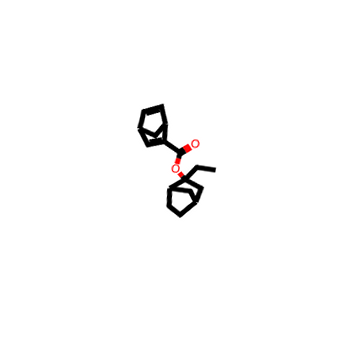 CCC1(OC(=O)C2=CC3C=CC2C3)CC2CCC1C2